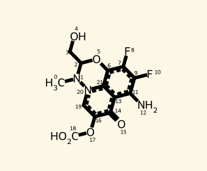 CN1C(CO)Oc2c(F)c(F)c(N)c3c(=O)c(OC(=O)O)cn1c23